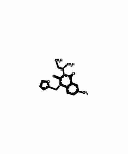 Cc1ccc2c(c1)c(=O)n([C@@H](CC(=O)O)C(=O)O)c(=O)n2Cc1ccco1